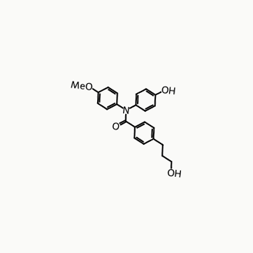 COc1ccc(N(C(=O)c2ccc(CCCO)cc2)c2ccc(O)cc2)cc1